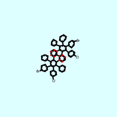 Clc1ccc(-c2c(-c3ccc(Br)cc3)c(-c3ccccc3)c(-c3ccccc3)c(-c3ccccc3-c3ccccc3-c3c(-c4ccccc4)c(-c4ccccc4)c(-c4ccc(Br)cc4)c(-c4ccc(Cl)cc4)c3-c3ccccc3)c2-c2ccccc2)cc1